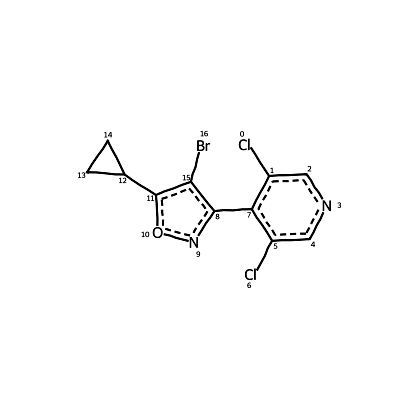 Clc1cncc(Cl)c1-c1noc(C2CC2)c1Br